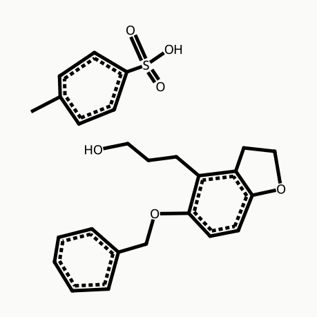 Cc1ccc(S(=O)(=O)O)cc1.OCCCc1c(OCc2ccccc2)ccc2c1CCO2